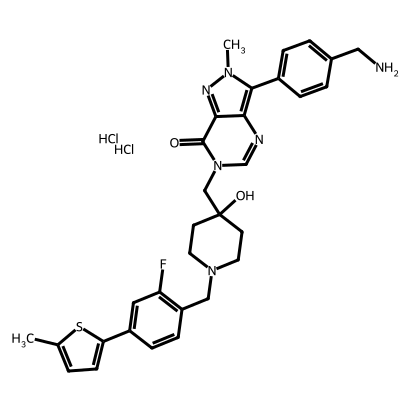 Cc1ccc(-c2ccc(CN3CCC(O)(Cn4cnc5c(-c6ccc(CN)cc6)n(C)nc5c4=O)CC3)c(F)c2)s1.Cl.Cl